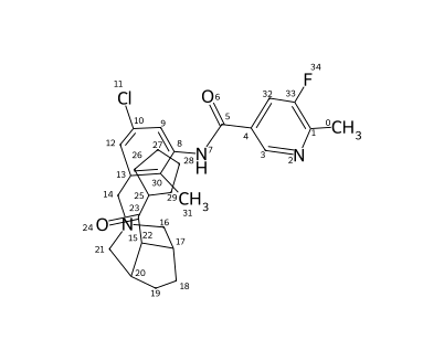 Cc1ncc(C(=O)Nc2cc(Cl)cc(CN3CC4CCC(C3)C4C(=O)C3CCCC3)c2C)cc1F